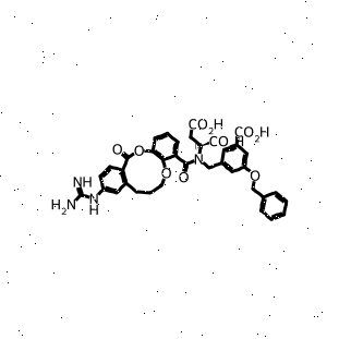 N=C(N)Nc1ccc2c(c1)CCCOc1c(cccc1C(=O)N(Cc1cc(OCc3ccccc3)cc(C(=O)O)c1)[C@@H](CC(=O)O)C(=O)O)OC2=O